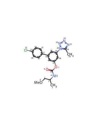 COCC(C)NC(=O)Oc1cc(-c2ccc(Cl)cc2)cc(-n2nnnc2C)c1